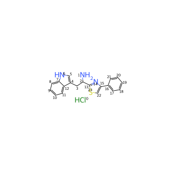 Cl.NC(Cc1c[nH]c2ccccc12)c1nc(-c2ccccc2)cs1